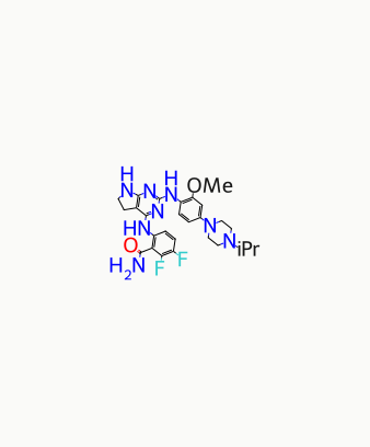 COc1cc(N2CCN(C(C)C)CC2)ccc1Nc1nc2c(c(Nc3ccc(F)c(F)c3C(N)=O)n1)CCN2